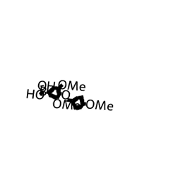 COc1ccc(COc2c(OC)cc(B(O)O)cc2OC)cc1